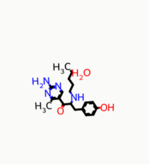 CCCCCNC(Cc1ccc(O)cc1)C(=O)c1cnc(N)nc1C.O